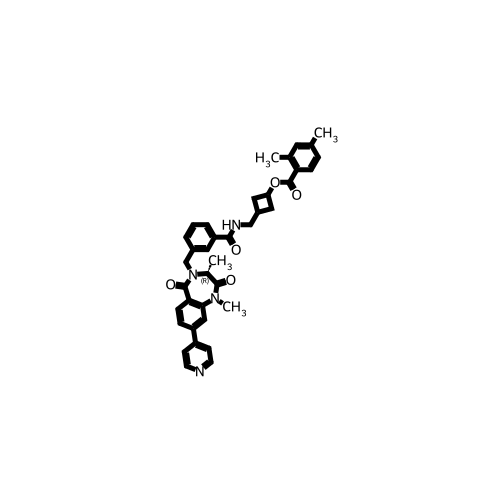 Cc1ccc(C(=O)OC2CC(CNC(=O)c3cccc(CN4C(=O)c5ccc(-c6ccncc6)cc5N(C)C(=O)[C@H]4C)c3)C2)c(C)c1